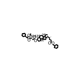 CC(=O)N[C@@H](CC(=O)O[C@H]1CC[C@@]2(C)[C@H](CC[C@@H]3[C@@H]2CC[C@]2(C)[C@@H]([C@H](C)CCC(=O)OCc4ccccc4)CC[C@@H]32)C1)C(=O)OCc1ccccc1